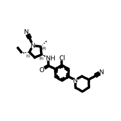 CC[C@H]1C[C@@H](NC(=O)c2ccc(N3CCCC(C#N)C3)cc2Cl)[C@@H](C)N1C#N